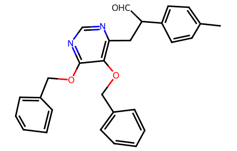 Cc1ccc(C(C=O)Cc2ncnc(OCc3ccccc3)c2OCc2ccccc2)cc1